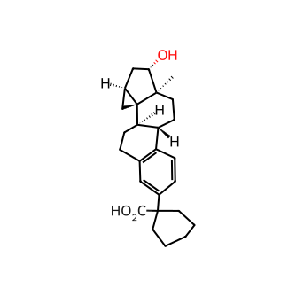 C[C@]12CC[C@@H]3c4ccc(C5(C(=O)O)CCCCC5)cc4CC[C@H]3[C@@]13C[C@H]3C[C@@H]2O